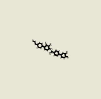 CCCC1CCC(c2ccc(OC(=O)c3ccc(-c4ccc(C)c(F)c4)cc3)c(F)c2F)CC1